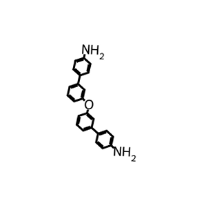 Nc1ccc(-c2cccc(Oc3cccc(-c4ccc(N)cc4)c3)c2)cc1